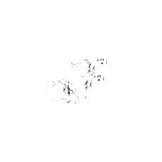 CCCCN(c1nc(NCCCCC(CCCNc2nc(N(CCCC)C3CC(C)(C)NC(C)(C)C3)nc(N(CCCC)C3CC(C)(C)NC(C)(C)C3)n2)CNc2nc(N(CCCC)C3CC(C)(C)NC(C)(C)C3)nc(N(CCCC)C3CC(C)(C)NC(C)(C)C3)n2)nc(N(CCCC)C2CC(C)(C)NC(C)(C)C2)n1)C1CC(C)(C)NC(C)(C)C1